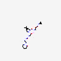 CCCC(NC(=O)[C@@H]1[C@@H]2[C@H](CN1C(=O)[C@@H](NC(=O)N[C@H](CN1CCCCC1=O)C(C)(C)C)C(C)(C)C)C2(C)C)C(=O)C(=O)NC1CC1